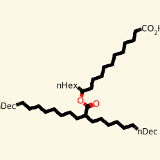 CCCCCCCCCCCCCCCCCCC(CCCCCCCCCCCCCCCC)C(=O)OC(CCCCCC)CCCCCCCCCCC(=O)O